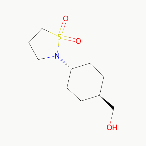 O=S1(=O)CCCN1[C@H]1CC[C@H](CO)CC1